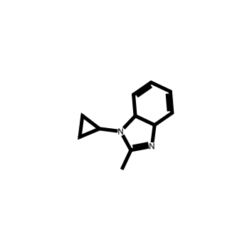 CC1=NC2C=CC=CC2N1C1CC1